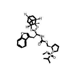 CN=S(=O)(C(C)C)N1CCC[C@@H]1COC(=O)N[C@@H](Cc1coc2ccccc12)B1O[C@@H]2C[C@@H]3C[C@@H](C3(C)C)[C@]2(C)O1